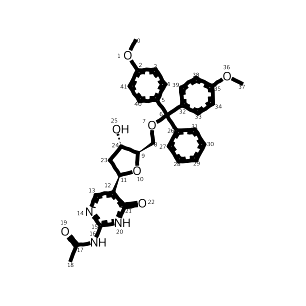 COc1ccc(C(OC[C@H]2O[C@@H](c3cnc(NC(C)=O)[nH]c3=O)C[C@@H]2O)(c2ccccc2)c2ccc(OC)cc2)cc1